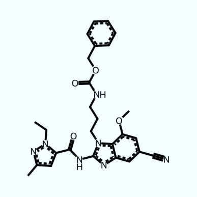 CCn1nc(C)cc1C(=O)Nc1nc2cc(C#N)cc(OC)c2n1CCCNC(=O)OCc1ccccc1